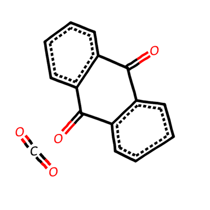 O=C1c2ccccc2C(=O)c2ccccc21.O=C=O